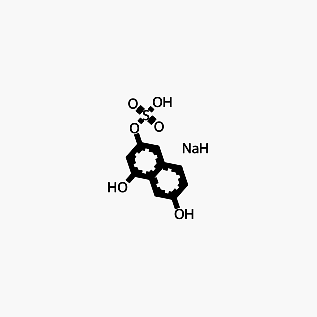 O=S(=O)(O)Oc1cc(O)c2cc(O)ccc2c1.[NaH]